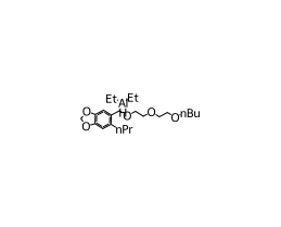 CCCCOCCOCCOCc1cc2c(cc1CCC)OCO2.C[CH2][AlH][CH2]C